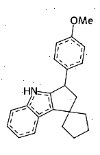 COc1ccc(C2CC3(CCCC3)c3c2[nH]c2ccccc32)cc1